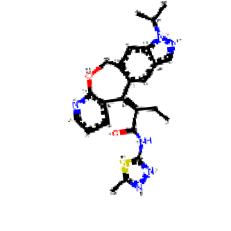 CC/C(C(=O)Nc1nnc(C)s1)=C1\c2cc3cnn(C(C)C)c3cc2COc2ncccc21